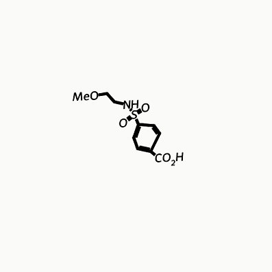 COCCNS(=O)(=O)c1ccc(C(=O)O)cc1